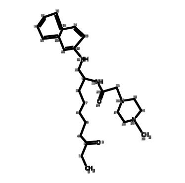 CCC(=O)CCCCCC(CNc1ccc2ccccc2c1)NC(=O)CN1CCN(C)CC1